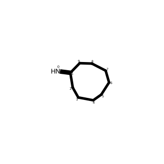 N=C1CCCCCCCC1